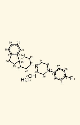 Cl.Cl.Fc1ccc(N2CCN([C@H]3CC[C@@]4(CCc5ccccc54)CC3)CC2)cc1